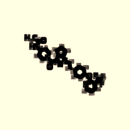 CC(=O)NC1CCN(C(=O)c2nn(CC[C@H]3CC[C@@H](Oc4ncccc4C(F)(F)F)CC3)c3c2CCC3)CC1